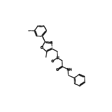 Cc1cccc(-c2nc(C[S+]([O-])CC(=O)NCc3ccccc3)c(C)o2)c1